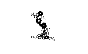 Cc1ccc(-n2nc(C(C)(C)C)cc2NC(=O)Nc2cccc(CC3CCN(C(=O)C(C)(C)c4ccccc4)CC3)c2)cc1